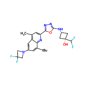 Cc1cc(-c2nnc(N[C@H]3C[C@](O)(C(F)F)C3)o2)nc2c(C(C)(C)C)cc(N3CC(F)(F)C3)cc12